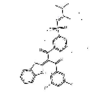 C/C(=N\S(=O)(=O)c1cccc(C(=O)C(C(=O)c2cc(F)cc(F)c2)=C2Nc3ccccc3N2)c1)N(C)C